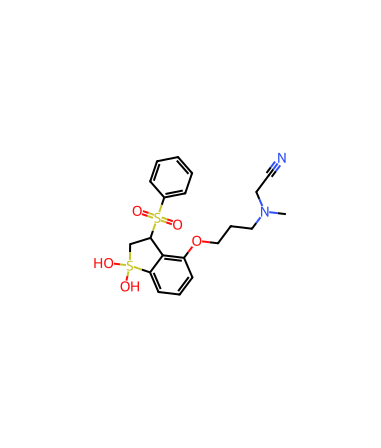 CN(CC#N)CCCOc1cccc2c1C(S(=O)(=O)c1ccccc1)CS2(O)O